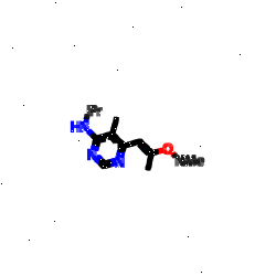 CNO/C(C)=C/c1ncnc(NC(C)C)c1C